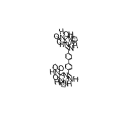 COC(=O)NC1(C(=O)N2[C@@H]3CC[C@@H](C3)[C@H]2c2nc(-c3ccc(-c4ccc(-c5c[nH]c([C@@H]6[C@H]7CC[C@H](C7)N6C(=O)C6(NC(=O)OC)CC6)n5)cc4)cc3)c[nH]2)CC1